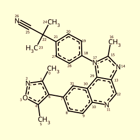 Cc1noc(C)c1-c1ccc2ncc3nc(C)n(-c4ccc(C(C)(C)C#N)cc4)c3c2c1